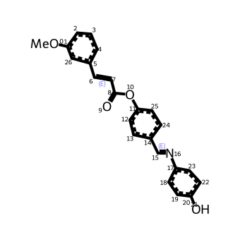 COc1cccc(/C=C/C(=O)Oc2ccc(/C=N/c3ccc(O)cc3)cc2)c1